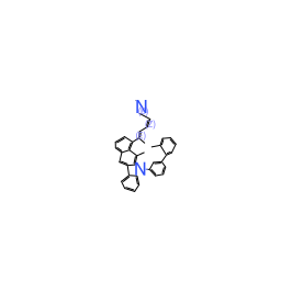 C/N=C/C=C\C=C(/C)c1cccc2cc3c4ccccc4n(-c4cccc(-c5ccccc5C)c4)c3c(C)c12